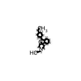 C#CCN1CCC2(CC1)OC(c1ccc(CC)cc1)c1ccccc12